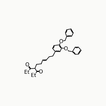 CCC(=O)C(CCC=CCCc1ccc(OCc2ccccc2)c(OCc2ccccc2)c1)C(=O)CC